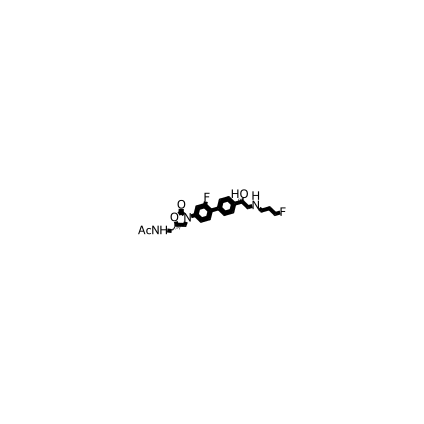 CC(=O)NC[C@H]1CN(c2ccc(-c3ccc([C@H](O)CNCCCF)cc3)c(F)c2)C(=O)O1